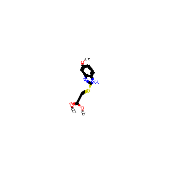 CCOc1ccc2[nH]c(SCC(OCC)OCC)nc2c1